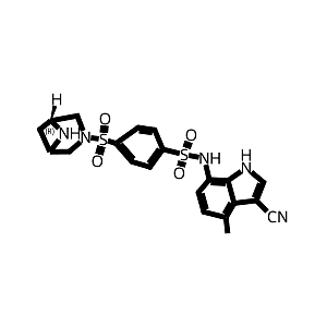 Cc1ccc(NS(=O)(=O)c2ccc(S(=O)(=O)N3CC4C[C@H](C3)N4)cc2)c2[nH]cc(C#N)c12